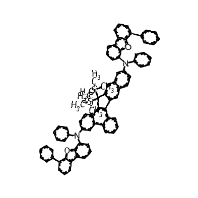 C[Si](C)(C)C1([Si](C)(C)C)c2cc3cc(N(c4ccccc4)c4cccc5c4oc4c(-c6ccccc6)cccc45)ccc3cc2-c2c1c1ccc(N(c3ccccc3)c3cccc4c3oc3c(-c5ccccc5)cccc34)cc1c1ccccc21